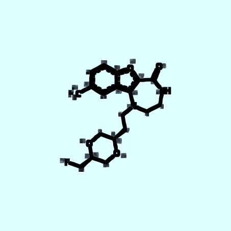 O=C1NCCN(CC[C@@H]2CO[C@H](CF)CO2)c2c1oc1ccc(C(F)(F)F)cc21